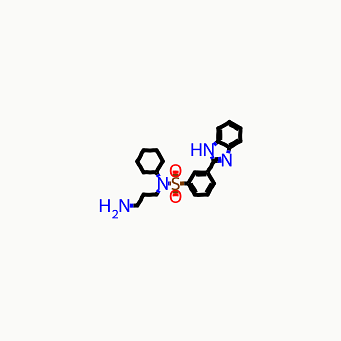 NCCCN(C1CCCCC1)S(=O)(=O)c1cccc(-c2nc3ccccc3[nH]2)c1